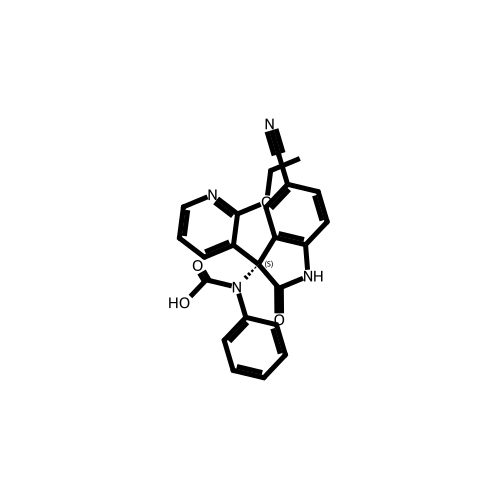 CCOc1ncccc1[C@]1(N(C(=O)O)c2ccccc2)C(=O)Nc2ccc(C#N)cc21